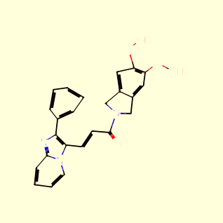 COc1cc2c(cc1OC)CN(C(=O)/C=C/c1c(-c3ccccc3)nc3ccccn13)C2